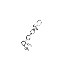 Cc1cccc(-c2ccc(N3CCN(S(=O)(=O)C4CCCCC4)CC3)cc2)c1C